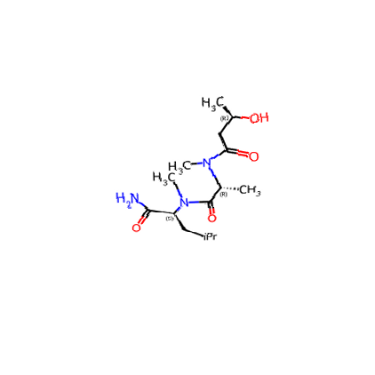 CC(C)C[C@@H](C(N)=O)N(C)C(=O)[C@@H](C)N(C)C(=O)C[C@@H](C)O